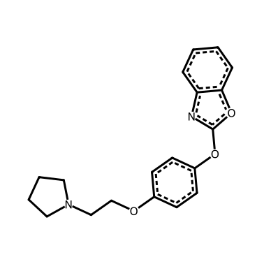 c1ccc2oc(Oc3ccc(OCCN4CCCC4)cc3)nc2c1